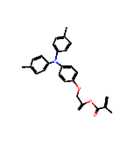 C=C(COc1ccc(N(c2ccc(C)cc2)c2ccc(C)cc2)cc1)OC(=O)C(=C)C